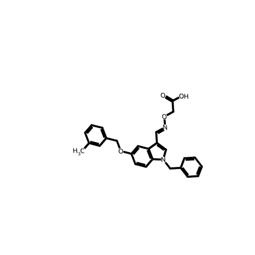 Cc1cccc(COc2ccc3c(c2)c(C=NOCC(=O)O)cn3Cc2ccccc2)c1